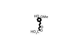 COc1cc(C=CC(=O)CC(=O)C(=O)O)ccc1O